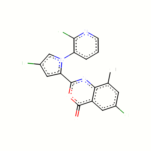 Cc1cc(Cl)cc2c(=O)oc(-c3cc(Br)cn3-c3cccnc3Cl)nc12